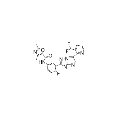 Cc1nc(C)c(C(=O)Nc2ccc(F)c(-c3nc4ncc(-c5ncccc5C(F)F)cn4n3)c2)o1